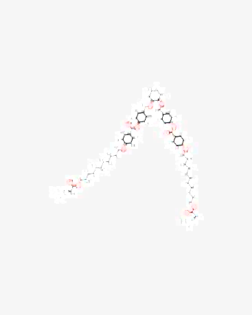 C=CC(=O)OCCCCCCCCCCCOc1ccc(C(=O)Oc2ccc(CO[C@@H]3CCCC[C@H]3OCc3ccc(OC(=O)c4ccc(OCCCCCCCCCCCOC(=O)C=C)cc4)cc3)cc2)cc1